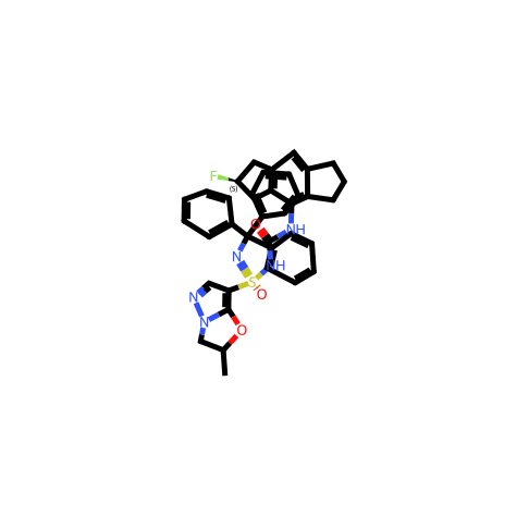 CC1Cn2ncc(S(=O)(=NC(c3ccccc3)(c3ccccc3)c3ccccc3)NC(=O)Nc3c4c(cc5c3C[C@@H](F)C5)CCC4)c2O1